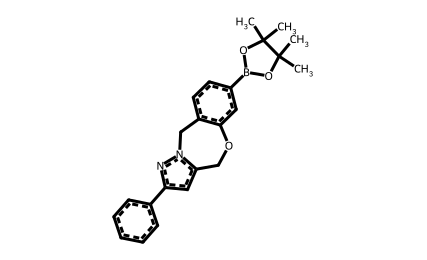 CC1(C)OB(c2ccc3c(c2)OCc2cc(-c4ccccc4)nn2C3)OC1(C)C